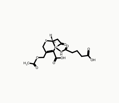 CC(=O)OCC1=C(C(=O)O)[N+]2(NC(=O)CCCC(=O)O)C(=O)C[C@H]2SC1